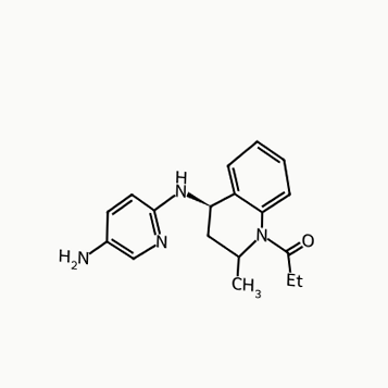 CCC(=O)N1c2ccccc2[C@H](Nc2ccc(N)cn2)CC1C